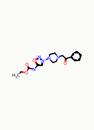 CCOC(=O)[N-]c1c[n+](N2CCN(CC(=O)c3ccccc3)CC2)no1